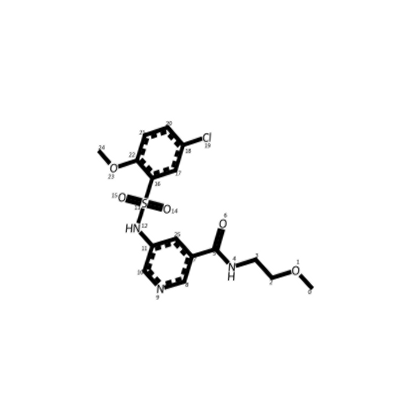 COCCNC(=O)c1cncc(NS(=O)(=O)c2cc(Cl)ccc2OC)c1